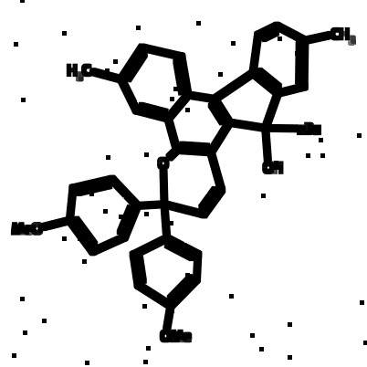 CCCCC1(O)c2cc(C)ccc2-c2c1c1c(c3cc(C)ccc23)OC(c2ccc(OC)cc2)(c2ccc(OC)cc2)C=C1